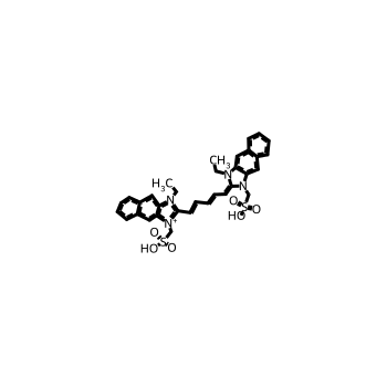 CCN1C(=CC=CC=Cc2n(CC)c3cc4ccccc4cc3[n+]2CS(=O)(=O)O)N(CS(=O)(=O)O)c2cc3ccccc3cc21